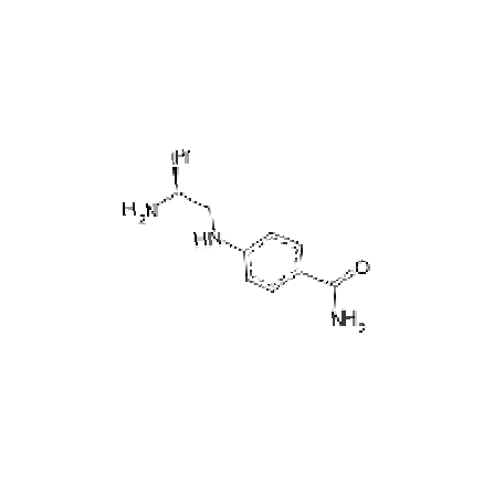 CC(C)[C@H](N)CNc1ccc(C(N)=O)cc1